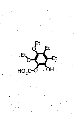 CCOc1c(CC)c(CC)c(O)c(OC(=O)O)c1OCC